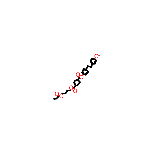 C=CC(=O)OCCCCOC(=O)C1CCC(C(=O)Oc2ccc(CCc3ccc(OC)cc3)cc2)CC1